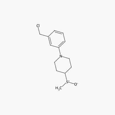 C[S+]([O-])C1CCN(c2cccc(CCl)c2)CC1